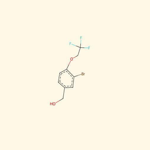 OCc1ccc(OCC(F)(F)F)c(Br)c1